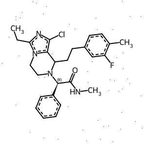 CCc1nc(Cl)c2n1CCN([C@@H](C(=O)NC)c1ccccc1)C2CCc1ccc(C)c(F)c1